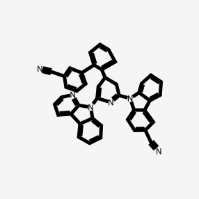 N#Cc1cccc(-c2ccccc2C2C=C(n3c4ccccc4c4cccnc43)N=C(n3c4ccccc4c4cc(C#N)ccc43)C2)c1